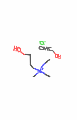 C[N+](C)(C)CCO.O=CO.[Cl-]